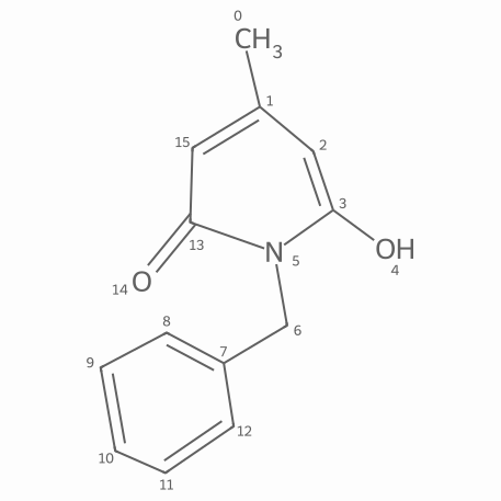 Cc1cc(O)n(Cc2ccccc2)c(=O)c1